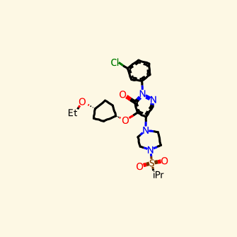 CCO[C@H]1CC[C@@H](Oc2c(N3CCN(S(=O)(=O)C(C)C)CC3)cnn(-c3cccc(Cl)c3)c2=O)CC1